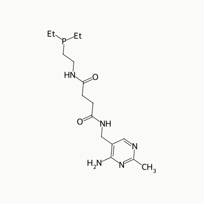 CCP(CC)CCNC(=O)CCC(=O)NCc1cnc(C)nc1N